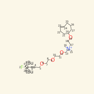 CC(C)(C)[Si](F)(C#CCOCCOCCOC[N+](C)(C)CCO[C@H]1CC/C=C/CCC1)C(C)(C)C